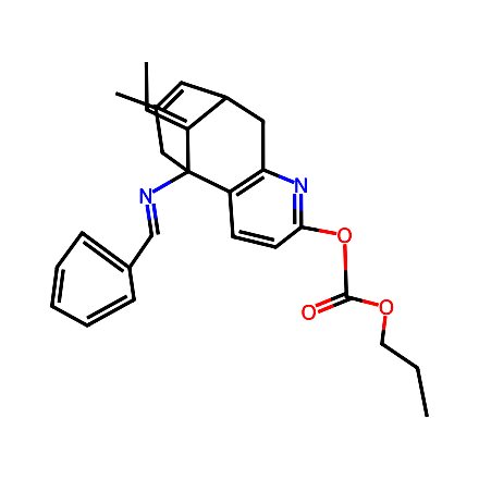 C/C=C1\C2C=C(C)CC1(/N=C/c1ccccc1)c1ccc(OC(=O)OCCC)nc1C2